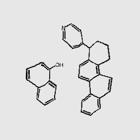 Oc1cccc2ccccc12.c1ccc2c(c1)ccc1c3c(ccc12)C(c1ccncc1)CCC3